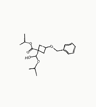 CC(C)OC(=O)C1(C(O)OC(C)C)CC(OCc2ccccc2)C1